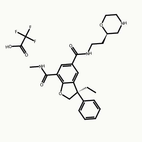 CC[C@]1(c2ccccc2)COc2c(C(=O)NC)cc(C(=O)NCC[C@@H]3CNCCO3)cc21.O=C(O)C(F)(F)F